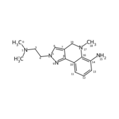 CN(C)CCn1cc2c(n1)-c1cccc(N)c1N(C)C2